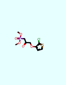 COP(=O)(CC(=O)COc1ccsc1Cl)OC